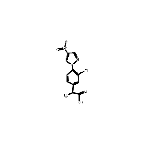 CC(C(=O)O)c1ccc(-n2cc([N+](=O)[O-])cn2)c(Cl)c1